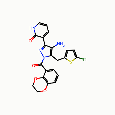 Nc1c(-c2ccc[nH]c2=O)nn(C(=O)c2cccc3c2OCCO3)c1Cc1ccc(Cl)s1